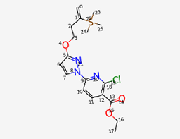 C=C(CCOc1ccn(-c2ccc(C(=O)OCC)c(Cl)n2)n1)S(C)(C)C